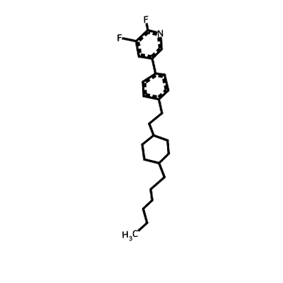 CCCCCCC1CCC(CCc2ccc(-c3cnc(F)c(F)c3)cc2)CC1